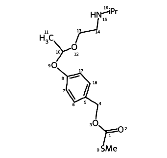 CSC(=O)OCc1ccc(OC(C)OCCNC(C)C)cc1